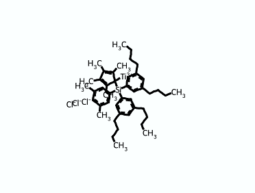 CCCCc1cc(CCCC)cc([Si](c2cc(C)cc(C)c2)(c2cc(CCCC)cc(CCCC)c2)[C]2([Ti+3])C(C)=C(C)C(C)=C2C)c1.[Cl-].[Cl-].[Cl-]